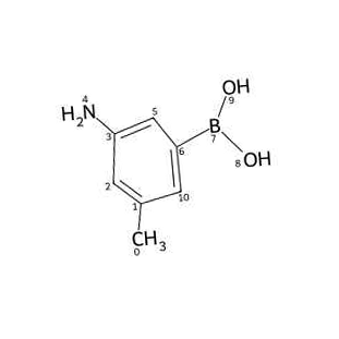 Cc1cc(N)cc(B(O)O)c1